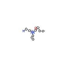 N#Cc1cccc(-c2ccc(-c3nc(-c4ccc5c(ccc6ccccc65)c4)nc(-c4ccc5c(c4)oc4cccc(-c6cccc(-c7ccccc7)c6)c45)n3)cc2)c1